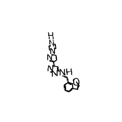 c1cc(CCNc2cc(-c3ccc(N4CCNCC4)nc3)ncn2)c2occc2c1